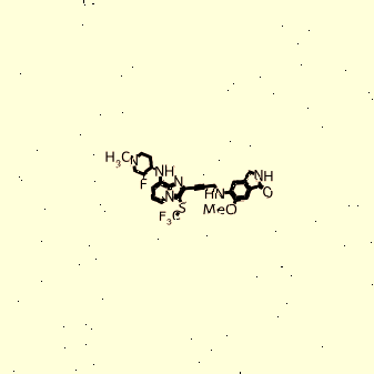 COc1cc2c(cc1NCC#Cc1nc3c(N[C@@H]4CCN(C)C[C@@H]4F)cccn3c1SC(F)(F)F)CNC2=O